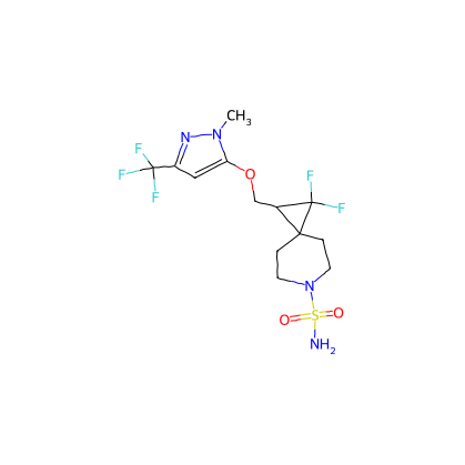 Cn1nc(C(F)(F)F)cc1OCC1C(F)(F)C12CCN(S(N)(=O)=O)CC2